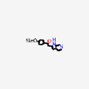 COc1ccc(C(=O)Cc2cc3ccncc3[nH]2)cc1